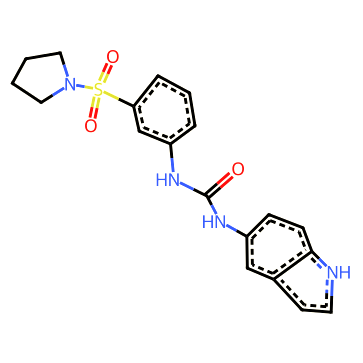 O=C(Nc1cccc(S(=O)(=O)N2CCCC2)c1)Nc1ccc2[nH]ccc2c1